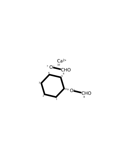 C1CCCCC1.O=C[O-].O=C[O-].[Ca+2]